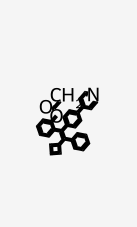 C=CC(=O)Oc1ccccc1/C(=C(/c1ccccc1)C1CCC1)c1ccc(-c2ccncc2)cc1